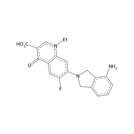 CCn1cc(C(=O)O)c(=O)c2cc(F)c(N3Cc4cccc(N)c4C3)cc21